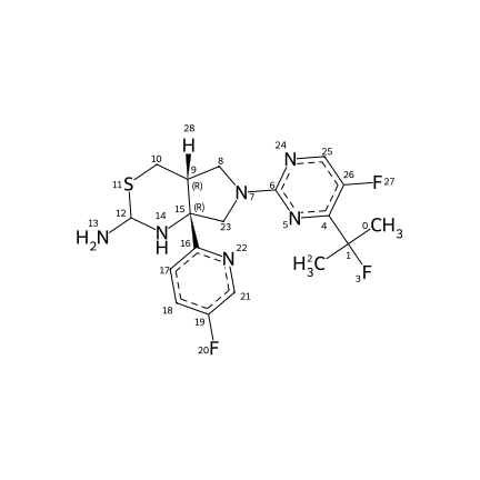 CC(C)(F)c1nc(N2C[C@H]3CSC(N)N[C@@]3(c3ccc(F)cn3)C2)ncc1F